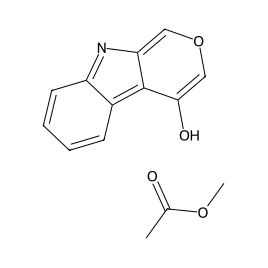 COC(C)=O.Oc1cocc2nc3ccccc3c1-2